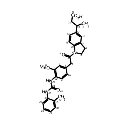 COc1cc(CC(=O)N2CCc3cc(C(C)CC(=O)O)ccc32)ccc1NC(=O)Nc1ccccc1C